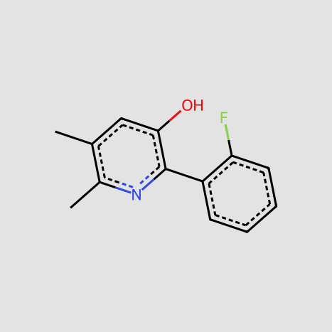 Cc1cc(O)c(-c2ccccc2F)nc1C